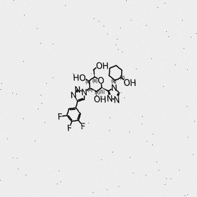 OC[C@H]1O[C@@H](c2nncn2[C@@H]2CCCC[C@H]2O)[C@H](O)[C@@H](n2cc(-c3cc(F)c(F)c(F)c3)nn2)[C@H]1O